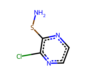 NSc1nccnc1Cl